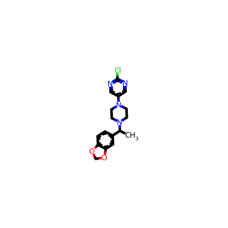 CC(c1ccc2c(c1)OCO2)N1CCN(c2cnc(Cl)nc2)CC1